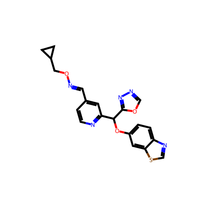 C(=N\OCC1CC1)/c1ccnc(C(Oc2ccc3ncsc3c2)c2nnco2)c1